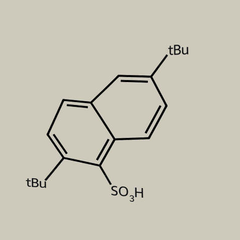 CC(C)(C)c1ccc2c(S(=O)(=O)O)c(C(C)(C)C)ccc2c1